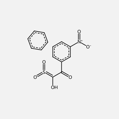 O=C(C(O)=S(=O)=O)c1cccc([N+](=O)[O-])c1.c1ccccc1